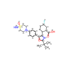 CC(C)(C)c1nc(C2CCC(F)CC2C(=O)O)c(-c2ccc(N3CCS(=N)(=O)CC3)cc2)o1